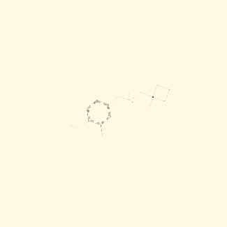 CCOC(=O)C1(CNCc2ccc(OC(F)(F)F)c(Cl)c2)CCC1